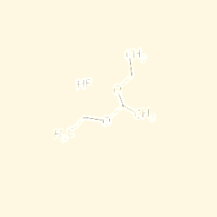 CCOC(C)OCC.F